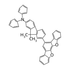 CC1(C)c2cc(-c3cc4c5ccccc5oc4c4oc5ccccc5c34)ccc2-c2ccc(N(c3ccccc3)c3ccccc3)cc21